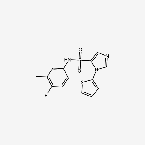 Cc1cc(NS(=O)(=O)c2cncn2-c2cccs2)ccc1F